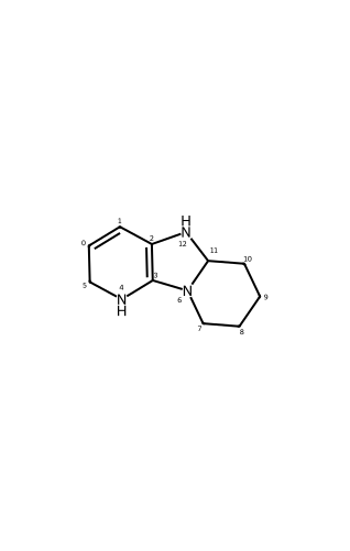 C1=CC2=C(NC1)N1CCCCC1N2